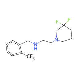 FC1(F)CCCN(CCNCc2ccccc2C(F)(F)F)C1